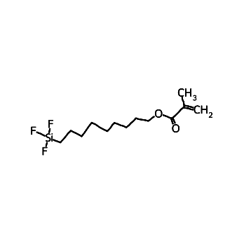 C=C(C)C(=O)OCCCCCCCCC[Si](F)(F)F